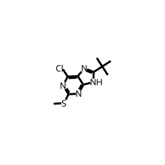 CSc1nc(Cl)c2nc(C(C)(C)C)[nH]c2n1